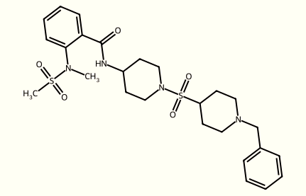 CN(c1ccccc1C(=O)NC1CCN(S(=O)(=O)C2CCN(Cc3ccccc3)CC2)CC1)S(C)(=O)=O